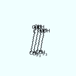 CCCCCCCCCCCCCCCCCC(=O)O.CCCCCCCCCCCCCCCCCC(=O)O.CCCCCCCCCCCCCCCCCCCCCC(=O)O.CCCCCCCCCCCCCCCCCCCCCC(=O)O